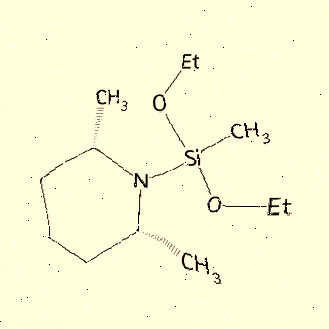 CCO[Si](C)(OCC)N1[C@H](C)CCC[C@@H]1C